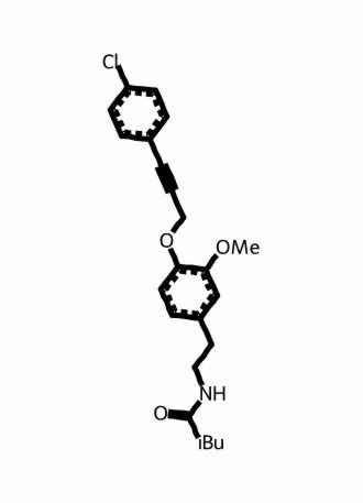 CCC(C)C(=O)NCCc1ccc(OCC#Cc2ccc(Cl)cc2)c(OC)c1